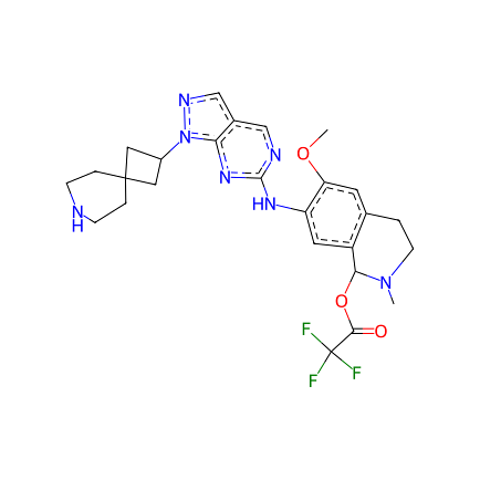 COc1cc2c(cc1Nc1ncc3cnn(C4CC5(CCNCC5)C4)c3n1)C(OC(=O)C(F)(F)F)N(C)CC2